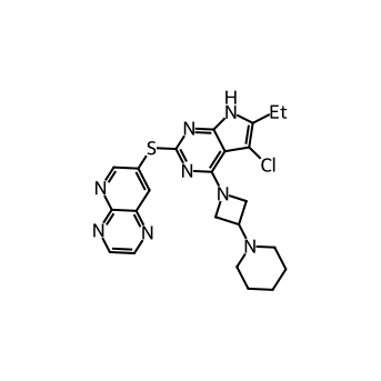 CCc1[nH]c2nc(Sc3cnc4nccnc4c3)nc(N3CC(N4CCCCC4)C3)c2c1Cl